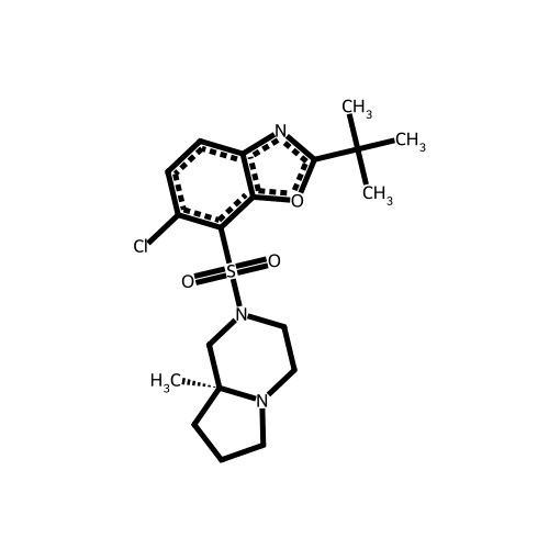 CC(C)(C)c1nc2ccc(Cl)c(S(=O)(=O)N3CCN4CCC[C@@]4(C)C3)c2o1